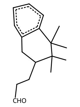 CC1(C)c2ccccc2CC(CCC=O)C1(C)C